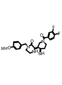 COc1ccc(CN2CCN/C(=C3/CN(C(=O)c4ccc(F)c(F)c4)CCC3=N)C2=O)cc1